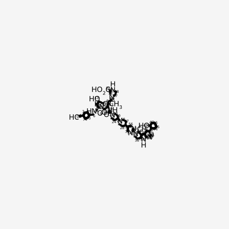 C#Cc1ccc(CNC(=O)[C@@H]2C[C@@H](O)CN2C(=O)[C@@H](NC(=O)N2CCC(N3CCC(c4cnc(N5CCc6[nH]c7nnc(-c8ccccc8O)cc7c6[C@H]5C)nc4)CC3)CC2)C(C)(C)CCN2CCN[C@@H](C(=O)O)C2)cc1